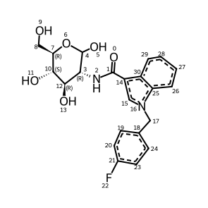 O=C(N[C@H]1C(O)O[C@H](CO)[C@@H](O)[C@@H]1O)c1cn(Cc2ccc(F)cc2)c2ccccc12